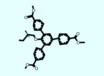 CC[C@@H](C)COc1c(-c2ccc(C(=O)OC)cc2)cc(-c2ccc(C(=O)OC)cc2)cc1-c1ccc(C(=O)OC)cc1